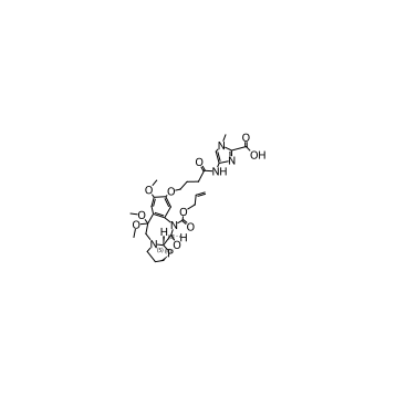 C=CCOC(=O)N1c2cc(OCCCC(=O)Nc3cn(C)c(C(=O)O)n3)c(OC)cc2C(OC)(OC)CN2CCC[P@]3O[C@H]1[C@@H]23